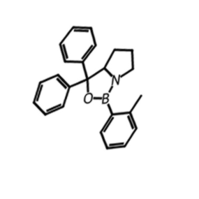 Cc1ccccc1B1OC(c2ccccc2)(c2ccccc2)C2CCCN12